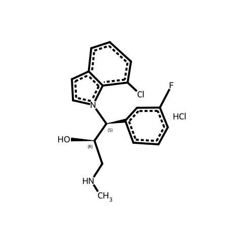 CNC[C@@H](O)[C@H](c1cccc(F)c1)n1ccc2cccc(Cl)c21.Cl